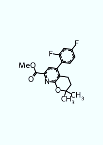 COC(=O)c1cc(-c2ccc(F)cc2F)c2c(n1)OC(C)(C)CC2